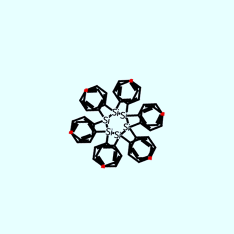 c1ccc([Si]2(c3ccccc3)[Si](c3ccccc3)(c3ccccc3)[Si](c3ccccc3)(c3ccccc3)[Si](c3ccccc3)(c3ccccc3)[Si](c3ccccc3)(c3ccccc3)[Si]2(c2ccccc2)c2ccccc2)cc1